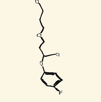 Fc1ccc(OC(Cl)CCOCCCCl)cc1